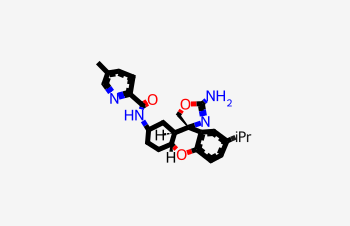 Cc1ccc(C(=O)NC2CC[C@H]3Oc4ccc(C(C)C)cc4[C@]4(COC(N)=N4)[C@@H]3C2)nc1